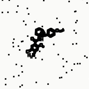 CCOc1ccc(CN2C3CCCC2(NC(=O)c2cc(Cl)c(N)cc2OC)CC3)cc1